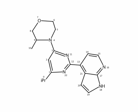 CC(C)c1cc(N2CCOCC2C)nc(-c2ccnc3[nH]ccc23)n1